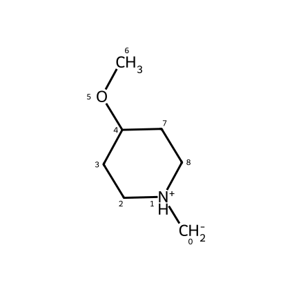 [CH2-][NH+]1CCC(OC)CC1